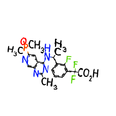 Cc1nc(NC(C)c2cccc(C(F)(F)C(=O)O)c2F)c2cc(P(C)(C)=O)ncc2n1